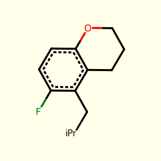 CC(C)Cc1c(F)ccc2c1CCCO2